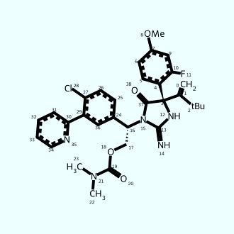 C=C(C(C)(C)C)[C@]1(c2ccc(OC)cc2F)NC(=N)N([C@H](COC(=O)N(C)C)c2ccc(Cl)c(-c3ccccn3)c2)C1=O